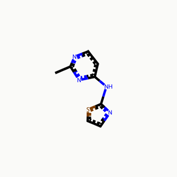 Cc1n[c]cc(Nc2nccs2)n1